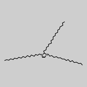 CCCCCCCCCCCCCCCCCCC1N(CCCCCCCCCCCCCCCCCC)C=CN1CCCCCCCCCCCCCCCCCC